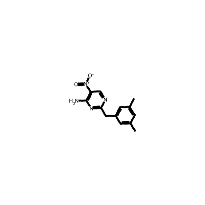 Cc1cc(C)cc(Cc2ncc([N+](=O)[O-])c(N)n2)c1